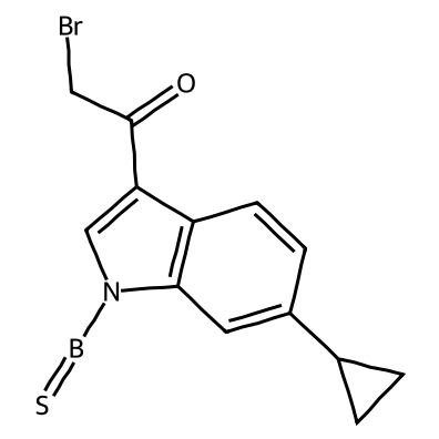 O=C(CBr)c1cn(B=S)c2cc(C3CC3)ccc12